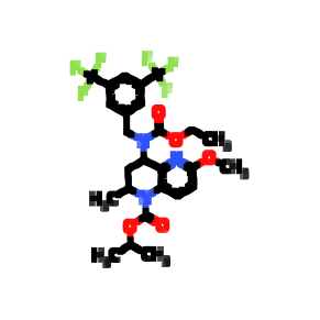 CCOC(=O)N(Cc1cc(C(F)(F)F)cc(C(F)(F)F)c1)C1CC(C)N(C(=O)OC(C)C)c2ccc(OC)nc21